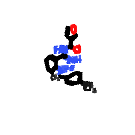 N=C(NC(=O)c1ccoc1)c1cccc(C(F)(F)F)c1NCc1ccc(C(F)(F)F)cc1